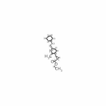 CCOC(=O)C1CC1c1ccc(SCc2ccccc2)nc1C